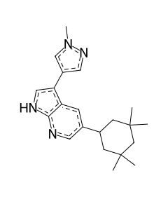 Cn1cc(-c2c[nH]c3ncc(C4CC(C)(C)CC(C)(C)C4)cc23)cn1